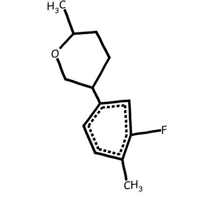 Cc1ccc(C2CCC(C)OC2)cc1F